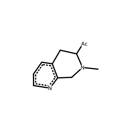 CC(=O)C1Cc2cccnc2CN1C